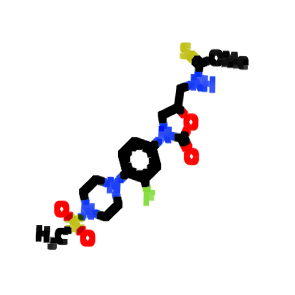 COC(=S)NCC1CN(c2ccc(N3CCN(S(C)(=O)=O)CC3)c(F)c2)C(=O)O1